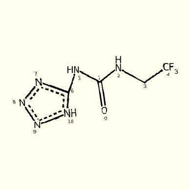 O=C(NCC(F)(F)F)Nc1nnn[nH]1